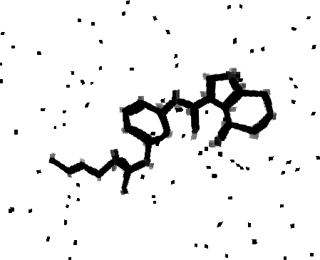 CCCCNC(C)Oc1cccc(NC(=O)c2c[nH]c3c2C(=O)CCC3)c1